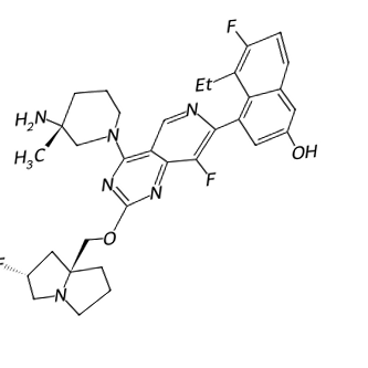 CCc1c(F)ccc2cc(O)cc(-c3ncc4c(N5CCC[C@@](C)(N)C5)nc(OC[C@@]56CCCN5C[C@H](F)C6)nc4c3F)c12